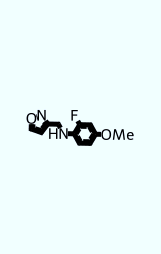 COc1ccc(NCc2ccon2)c(F)c1